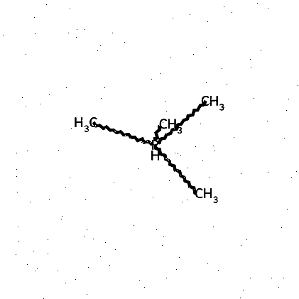 CCCCCCCCCCCCCCCCCC[PH](CCCCCC)(CCCCCCCCCCCCCCCCCC)CCCCCCCCCCCCCCCCCC